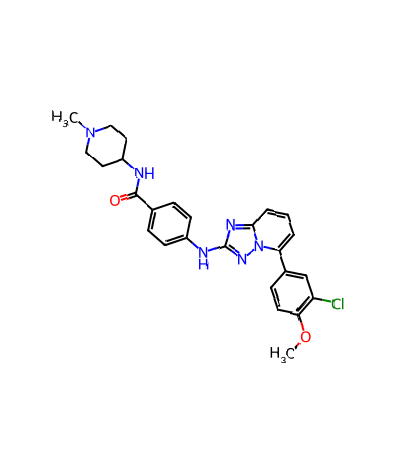 COc1ccc(-c2cccc3nc(Nc4ccc(C(=O)NC5CCN(C)CC5)cc4)nn23)cc1Cl